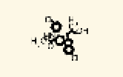 COC(=O)C1(Nc2cccc(Cl)c2)CCC2(CC1)C(C[C@@H](C)CO)=Cc1cc(Cl)ccc12